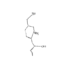 CCC(O)C1CCC(CS)CN1